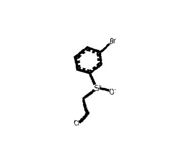 [O-][S+](CCCl)c1cccc(Br)c1